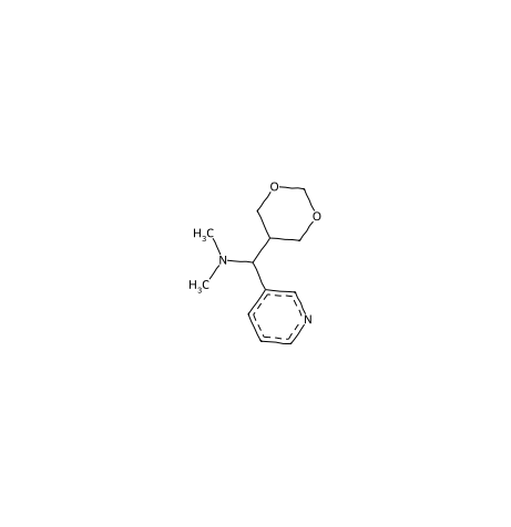 CN(C)C(c1cccnc1)C1COCOC1